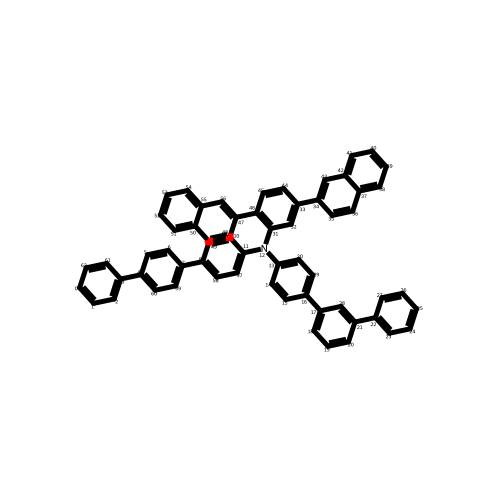 c1ccc(-c2ccc(-c3ccc(N(c4ccc(-c5cccc(-c6ccccc6)c5)cc4)c4cc(-c5ccc6ccccc6c5)ccc4-c4ccc5ccccc5c4)cc3)cc2)cc1